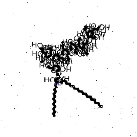 CCCCCCCCCCCCC/C=C/[C@@H](O)[C@H](CO[C@@H]1OC(CO)[C@@H](O[C@@H]2OC(CO)[C@H](O[C@@H]3OC(CO)[C@H](O)[C@H](O[C@@H]4OC(CO)[C@H](O)[C@H](O[C@]5(C(=O)O)CC(O)[C@@H](NC(C)=O)C([C@H](O)[C@@H](CO)O[C@]6(C(=O)O)CC(O)[C@@H](NC(C)=O)C([C@H](O)[C@H](O)CO)O6)O5)C4O)C3NC(C)=O)[C@H](O[C@]3(C(=O)O)CC(O)[C@@H](NC(C)=O)C([C@H](O)[C@H](O)CO)O3)C2O)[C@H](O)C1O)NC(=O)CCCCCCCCCCCCCCCCCCC